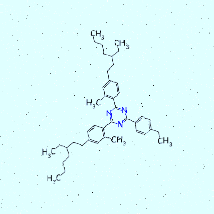 CCCCC(CC)CCc1ccc(-c2nc(-c3ccc(CC)cc3)nc(-c3ccc(CCC(CC)CCCC)cc3C)n2)c(C)c1